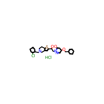 Cl.O=C(Cn1ncc(OCc2ccccc2)cc1=O)c1cc2c(s1)CCN(Cc1ccccc1Cl)C2